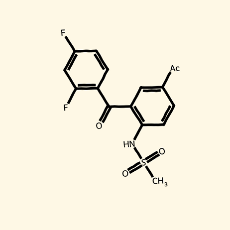 CC(=O)c1ccc(NS(C)(=O)=O)c(C(=O)c2ccc(F)cc2F)c1